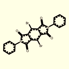 O=c1c2c(Br)c3c(=O)n(-c4ccccc4)c(=O)c3c(Br)c2c(=O)n1-c1ccccc1